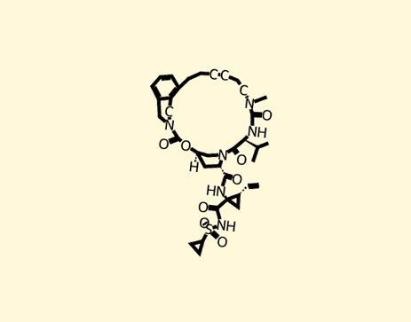 C=C[C@@H]1C[C@]1(NC(=O)[C@@H]1C[C@@H]2CN1C(=O)[C@H](C(C)C)NC(=O)N(C)CCCCCCc1cccc3c1CN(C3)C(=O)O2)C(=O)NS(=O)(=O)C1CC1